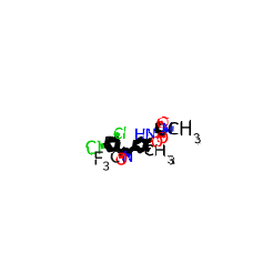 Cc1cc(C2=NOC(c3cc(Cl)cc(Cl)c3)(C(F)(F)F)C2)ccc1C(=O)NC1CON(C)C1=O